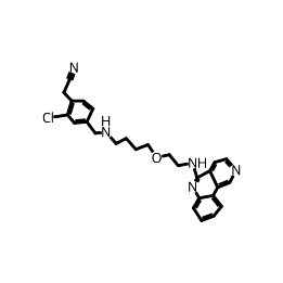 N#CCc1ccc(CNCCCCOCCNc2nc3ccccc3c3cnccc23)cc1Cl